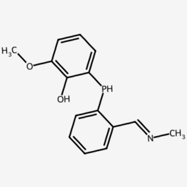 C/N=C/c1ccccc1Pc1cccc(OC)c1O